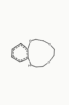 c1ccc2c(c1)NCCOCCOCCO2